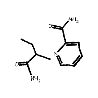 CCC(C)C(N)=O.NC(=O)c1ccccn1